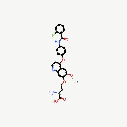 COc1cc2c(Oc3ccc(NC(=O)c4ccccc4F)cc3)ccnc2cc1OCC[C@H](N)C(=O)O